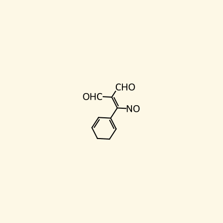 O=CC(C=O)=C(N=O)C1=CCCC=C1